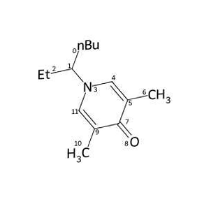 CCCCC(CC)n1cc(C)c(=O)c(C)c1